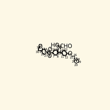 O=CNO.O=S(=O)(c1ccc(-c2ccc(OCCN3CCCC3)cc2)cc1)N1CCc2ccoc2C1